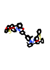 Cc1cc(-c2ccc(N(c3ccc4sc5ccccc5c4c3)c3c(C)cccc3-c3ccc(-c4ccccc4)cc3)c(C)c2)ccc1N(c1ccc2sc3ccccc3c2c1)c1c(C)cccc1-c1ccc(-c2ccccc2)cc1